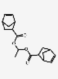 CC(OC(=O)C1CC2C=CC1C2)OC(=O)C1CC2C=CC1C2